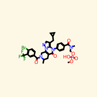 COP(=O)(O)OCN(C)C(=O)c1ccc(-n2c(=O)c3c(n4ncc(CC5CC5)c24)CN(C(=O)c2ccc(Br)c(C(F)(F)F)c2)C(C)C3)cc1